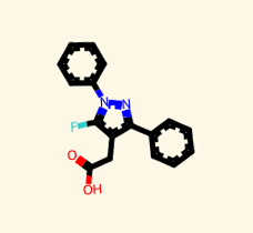 O=C(O)Cc1c(-c2ccccc2)nn(-c2ccccc2)c1F